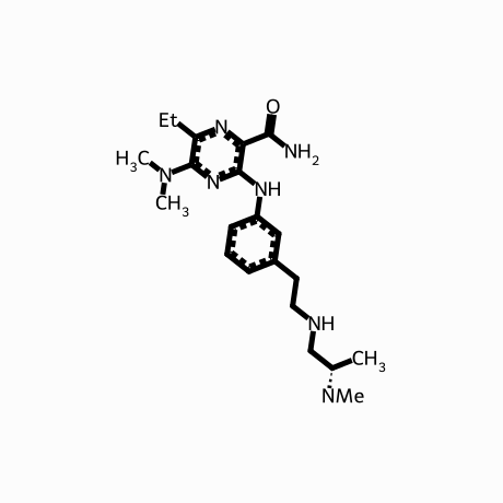 CCc1nc(C(N)=O)c(Nc2cccc(CCNC[C@H](C)NC)c2)nc1N(C)C